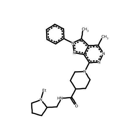 CCN1CCCC1CNC(=O)C1CCN(c2nnc(C)c3c(C)n(-c4ccccc4)nc23)CC1